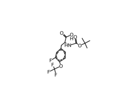 CC(C)(C)OC(=O)NC(Cc1ccc(OC(F)(F)F)c(F)c1)C(=O)O